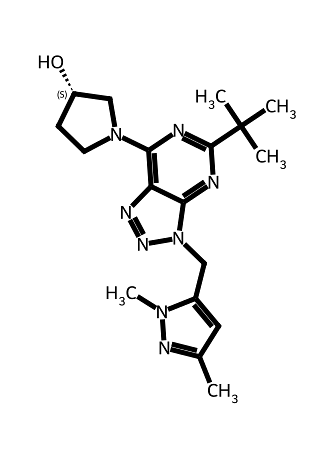 Cc1cc(Cn2nnc3c(N4CC[C@H](O)C4)nc(C(C)(C)C)nc32)n(C)n1